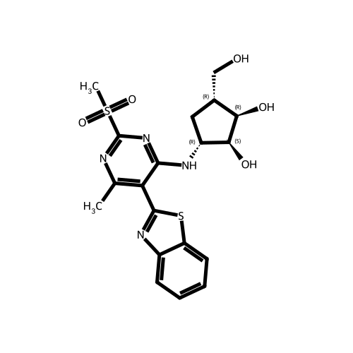 Cc1nc(S(C)(=O)=O)nc(N[C@@H]2C[C@H](CO)[C@@H](O)[C@H]2O)c1-c1nc2ccccc2s1